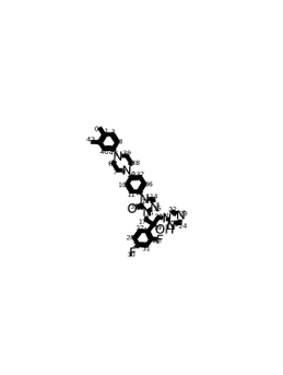 Cc1ccc(N2CCN(c3ccc(-n4cnn(CC(O)(Cn5cncn5)c5ccc(F)cc5F)c4=O)cc3)CC2)cc1C